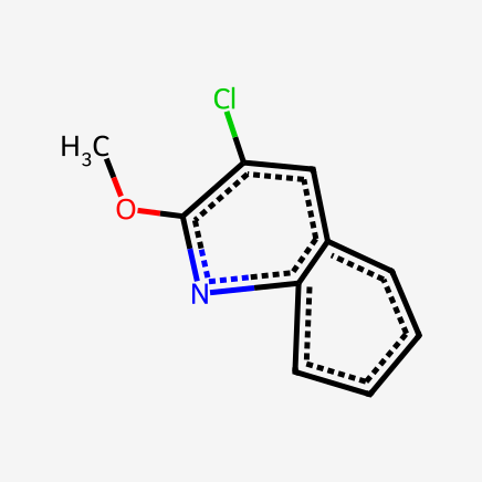 COc1nc2ccccc2cc1Cl